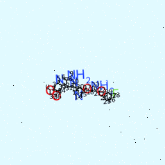 COc1cc2ncc3c(N)nc(-c4cncc(OC[C@H](N)COc5cccc(F)c5)c4)cc3c2cc1OC